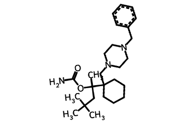 CC(C)(C)CC(C)(OC(N)=O)C1(CN2CCN(Cc3ccccc3)CC2)CCCCC1